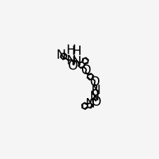 O=C(NCc1ccncc1)Nc1ccc(OCc2ccc(OCCN3CCN(C(=O)Cn4ccc5ccccc54)CC3)cc2)c2ccccc12